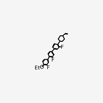 C=CC1CCC(c2ccc(-c3ccc(-c4ccc(OCC)c(F)c4)c(F)c3)cc2F)CC1